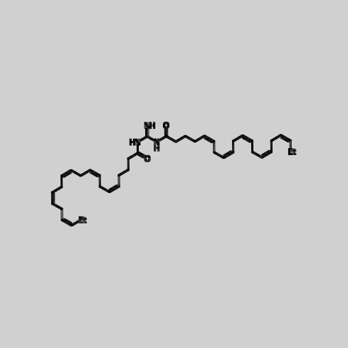 CC/C=C\C/C=C\C/C=C\C/C=C\C/C=C\CCCC(=O)NC(=N)NC(=O)CCC/C=C\C/C=C\C/C=C\C/C=C\C/C=C\CC